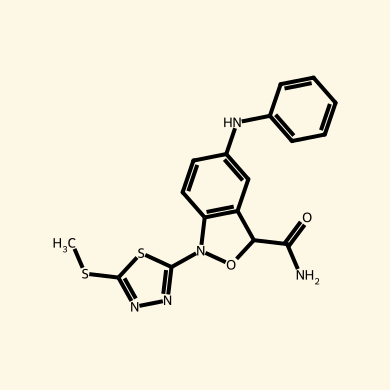 CSc1nnc(N2OC(C(N)=O)c3cc(Nc4ccccc4)ccc32)s1